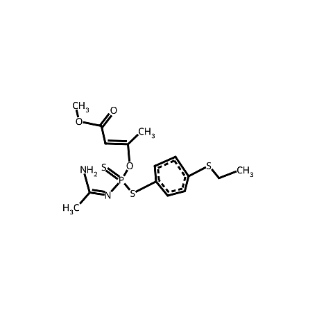 CCSc1ccc(SP(=S)(N=C(C)N)OC(C)=CC(=O)OC)cc1